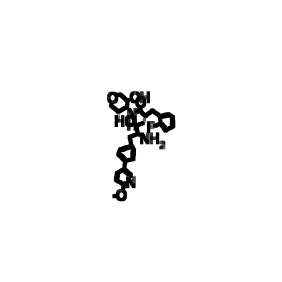 COc1ccc(-c2ccc(C[C@H](N)[C@@H](O)C[C@@H](Cc3ccccc3F)C(=O)N[C@H]3[C@H](C)COC[C@H]3O)cc2)cn1